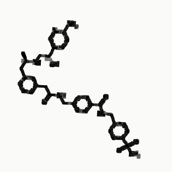 C[C@H](Cc1cccc(CC(=O)NCc2ccc(C(=O)NCc3ccc(S(N)(=O)=O)cc3)cc2)c1)NC[C@@H](O)c1ccc(N)nc1